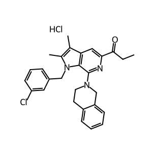 CCC(=O)c1cc2c(C)c(C)n(Cc3cccc(Cl)c3)c2c(N2CCc3ccccc3C2)n1.Cl